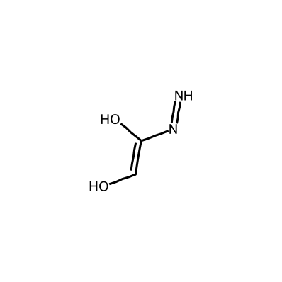 N=NC(O)=CO